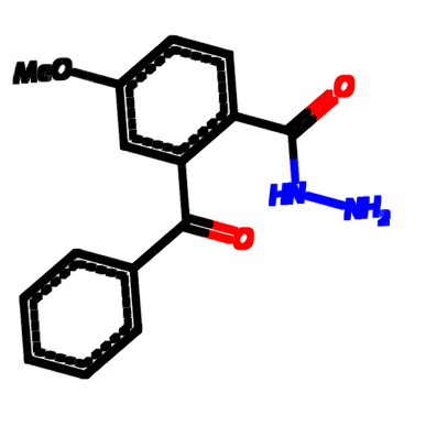 COc1ccc(C(=O)NN)c(C(=O)c2ccccc2)c1